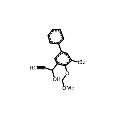 C#CC(O)c1cc(-c2ccccc2)cc(C(C)(C)C)c1OCOC